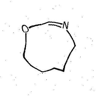 [CH]1CCN=COC1